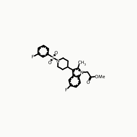 COC(=O)Cn1c(C)c(C2CCN(S(=O)(=O)c3cccc(F)c3)CC2)c2cc(F)ccc21